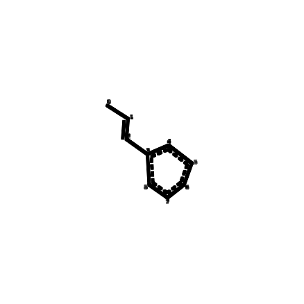 CC=Cc1[c]cccc1